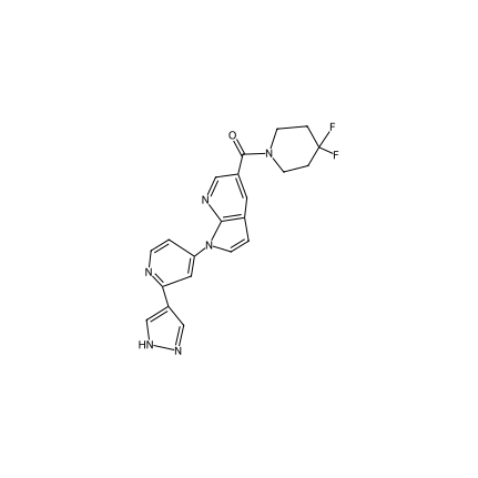 O=C(c1cnc2c(ccn2-c2ccnc(-c3cn[nH]c3)c2)c1)N1CCC(F)(F)CC1